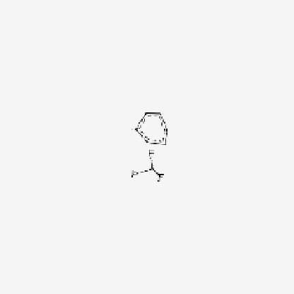 FC(F)F.[c]1ccccc1